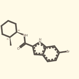 C[C@H]1CCCC[C@H]1NC(=O)c1cc2ccc(Br)cc2[nH]1